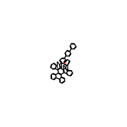 c1ccc(-c2ccc(-c3ccc(-n4c5ccccc5c5c6c7ccccc7c7ccccc7c6c6c7ccccc7n(-c7ccccc7)c6c54)cc3)cc2)cc1